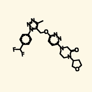 Cc1nnn(-c2ccc(C(F)F)cc2)c1COc1ccc(N2CCN(C3CCOC3)C(=O)C2)nn1